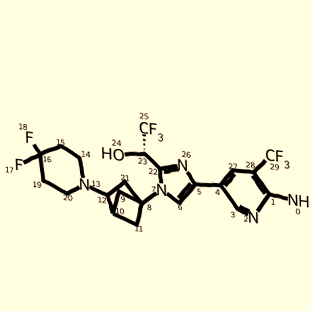 Nc1ncc(-c2cn(C34CC(C3)C(N3CCC(F)(F)CC3)C4)c([C@H](O)C(F)(F)F)n2)cc1C(F)(F)F